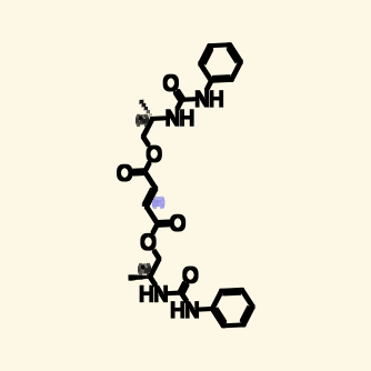 C[C@@H](COC(=O)/C=C/C(=O)OC[C@H](C)NC(=O)Nc1ccccc1)NC(=O)Nc1ccccc1